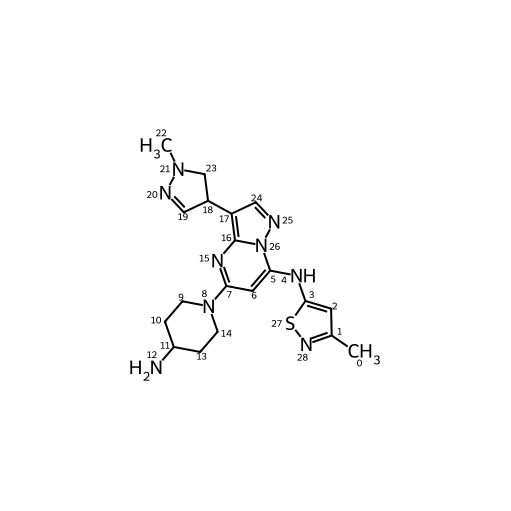 Cc1cc(Nc2cc(N3CCC(N)CC3)nc3c(C4C=NN(C)C4)cnn23)sn1